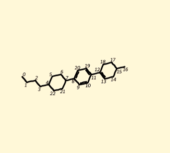 CCCCC1CCC(c2ccc(C3=CCC(C)CC3)cc2)CC1